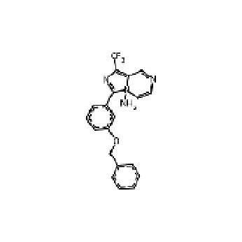 N[N+]12C=CN=CC1=C(C(F)(F)F)N=C2c1cccc(OCc2ccccc2)c1